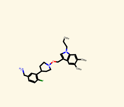 COCCn1cc(CON2CCC(c3cc(CN)ccc3F)CC2)c2cc(OC)c(OC)cc21